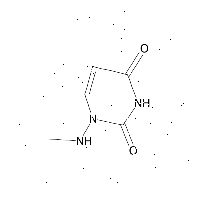 CNn1ccc(=O)[nH]c1=O